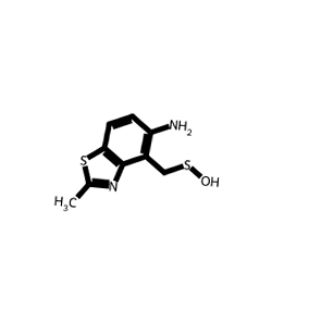 Cc1nc2c(CSO)c(N)ccc2s1